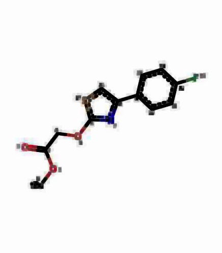 CC(C)(C)OC(=O)COc1nc(-c2ccc(F)cc2)cs1